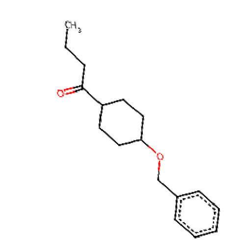 CCCC(=O)C1CCC(OCc2ccccc2)CC1